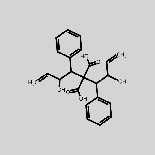 C=CC(O)C(c1ccccc1)C(C(=O)O)(C(=O)O)C(c1ccccc1)C(O)C=C